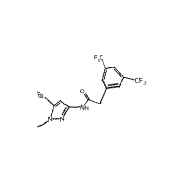 Cn1nc(NC(=O)Cc2cc(C(F)(F)F)cc(C(F)(F)F)c2)cc1Br